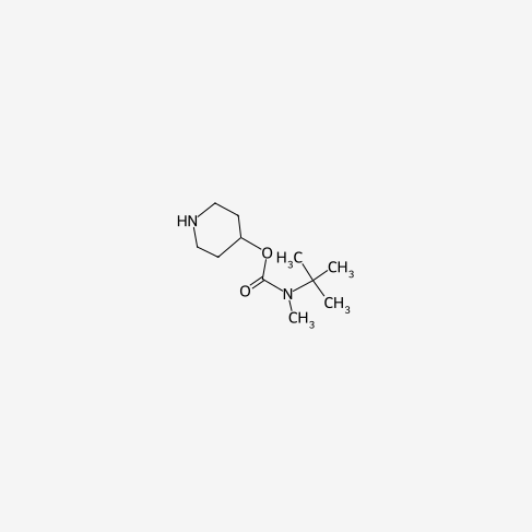 CN(C(=O)OC1CCNCC1)C(C)(C)C